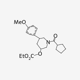 CCOC(=O)OC1CC(c2ccc(OC)cc2)CN(C(=O)C2CCCC2)C1